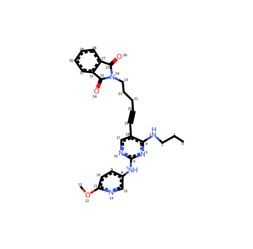 CCCNc1nc(Nc2ccc(OC)nc2)ncc1C#CCCCN1C(=O)c2ccccc2C1=O